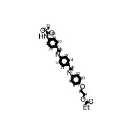 CCC(=O)OCCOc1ccc(N=Nc2ccc(N=Nc3ccc(NS(C)(=O)=O)cc3)cc2)cc1